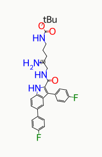 CC(C)(C)OC(=O)NCCC[C@H](N)CNC(=O)c1[nH]c2ccc(-c3ccc(F)cc3)cc2c1-c1ccc(F)cc1